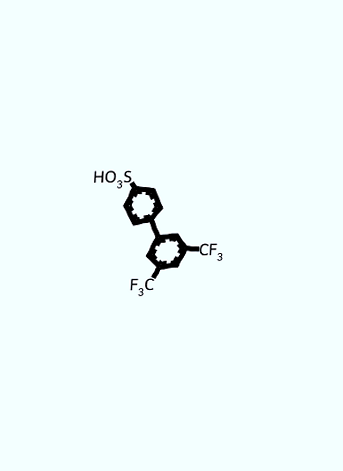 O=S(=O)(O)c1ccc(-c2cc(C(F)(F)F)cc(C(F)(F)F)c2)cc1